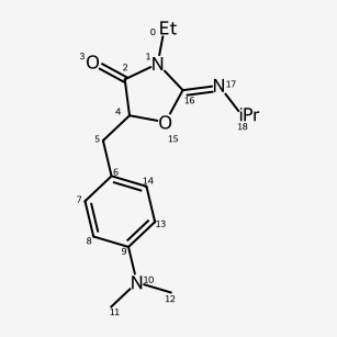 CCN1C(=O)C(Cc2ccc(N(C)C)cc2)OC1=NC(C)C